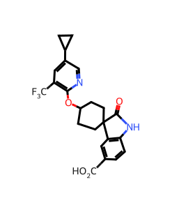 O=C(O)c1ccc2c(c1)C1(CCC(Oc3ncc(C4CC4)cc3C(F)(F)F)CC1)C(=O)N2